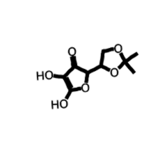 CC1(C)OCC(C2OC(O)=C(O)C2=O)O1